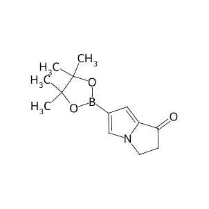 CC1(C)OB(c2cc3n(c2)CCC3=O)OC1(C)C